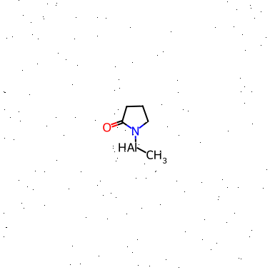 [CH3][AlH][N]1CCCC1=O